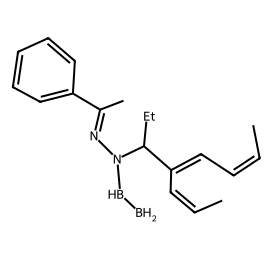 BBN(/N=C(\C)c1ccccc1)C(CC)C(/C=C\C)=C/C=C\C